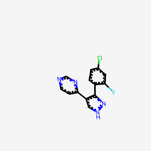 Fc1cc(Cl)ccc1-c1n[nH][c]c1-c1ccncn1